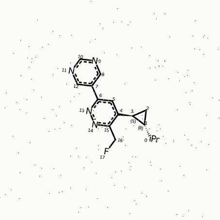 CC(C)[C@H]1C[C@@H]1c1cc(-c2cncnc2)nnc1CF